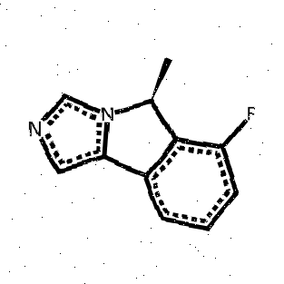 C[C@H]1c2c(F)cccc2-c2cncn21